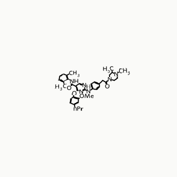 CCCc1ccc(Oc2nc(Nc3ccc(CC(=O)N4CCN(C)C(C)C4)cc3)ncc2C(=O)Nc2c(C)cccc2C)c(OC)c1